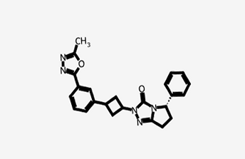 Cc1nnc(-c2cccc(C3CC(n4nc5n(c4=O)[C@H](c4ccccc4)CC5)C3)c2)o1